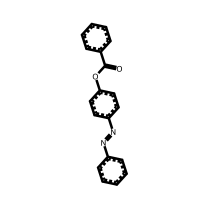 O=C(Oc1ccc(/N=N/c2ccccc2)cc1)c1ccccc1